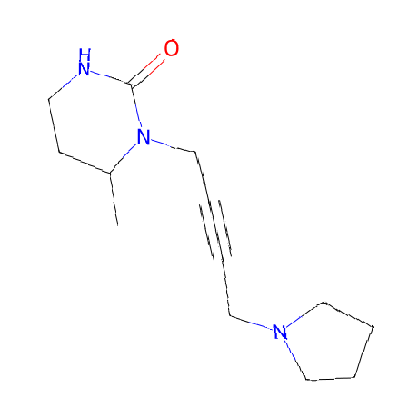 CC1CCNC(=O)N1CC#CCN1CCCC1